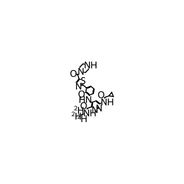 [2H]C([2H])([2H])NC(=O)c1nnc(NC(=O)C2CC2)cc1Nc1cccc(-c2ncc(C(=O)N3CCNCC3)s2)c1OC